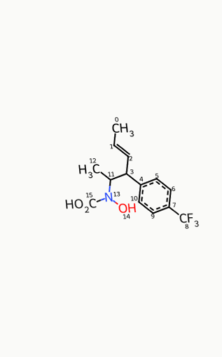 CC=CC(c1ccc(C(F)(F)F)cc1)C(C)N(O)C(=O)O